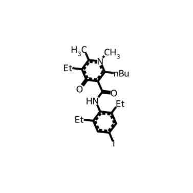 CCCCc1c(C(=O)Nc2c(CC)cc(I)cc2CC)c(=O)c(CC)c(C)n1C